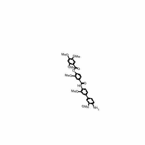 COc1cc(-c2ccc(NC(=O)c3ccc(OC(=O)c4cc(OC)c(OC)cc4OC)c(OC)c3)c(OC)c2)ccc1N